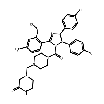 CCOc1cc(C(F)(F)F)ccc1C1=NC(c2ccc(Cl)cc2)C(c2ccc(Cl)cc2)N1C(=O)N1CCN(CN2CCNC(=O)C2)CC1